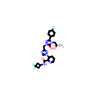 O=C(NC1CC(F)(F)C1)c1ncccc1-n1cnc(Cn2nc(-c3ccc(Cl)cc3)n(C[C@@H](O)C(F)(F)F)c2=O)n1